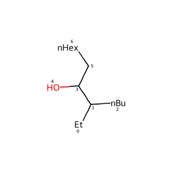 [CH2]CC(CCCC)C(O)CCCCCCC